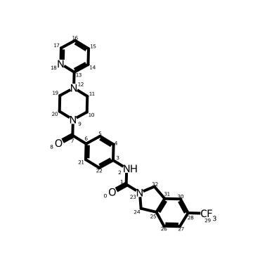 O=C(Nc1ccc(C(=O)N2CCN(c3ccccn3)CC2)cc1)N1Cc2ccc(C(F)(F)F)cc2C1